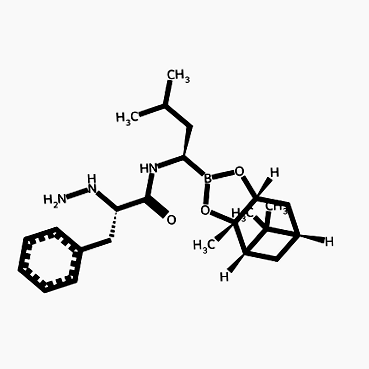 CC(C)C[C@H](NC(=O)[C@H](Cc1ccccc1)NN)B1O[C@@H]2C[C@@H]3C[C@@H](C3(C)C)[C@]2(C)O1